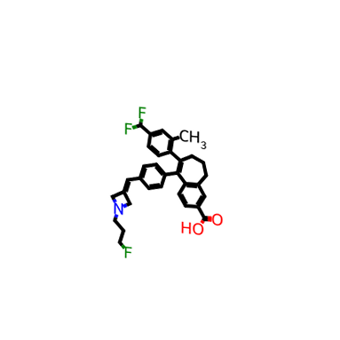 Cc1cc(C(F)F)ccc1C1=C(c2ccc(C=C3CN(CCCF)C3)cc2)c2ccc(C(=O)O)cc2CCC1